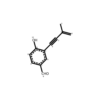 C=C(C)C#Cc1cc(C=O)ccc1O